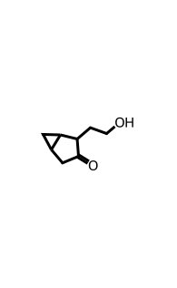 O=C1CC2CC2C1CCO